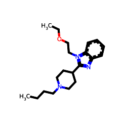 CCCCN1CCC(c2nc3ccccc3n2CCOCC)CC1